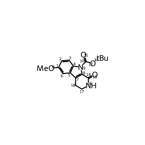 COc1ccc2c(c1)c1c(n2C(=O)OC(C)(C)C)C(=O)NCC1